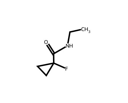 CCNC(=O)C1(F)CC1